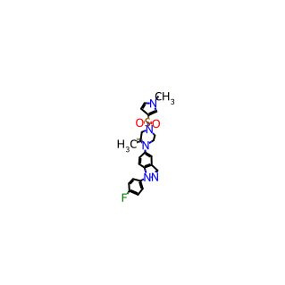 C[C@H]1CN(S(=O)(=O)c2ccn(C)c2)CCN1c1ccc2c(cnn2-c2ccc(F)cc2)c1